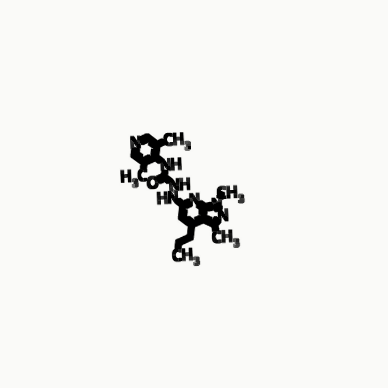 CCCc1cc(NNC(=O)Nc2c(C)cncc2C)nc2c1c(C)nn2C